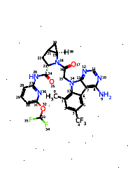 Cc1cc(C(F)(F)F)cc2c3c(N)ncnc3n(CC(=O)N3[C@@H]4CC4C[C@H]3C(=O)Nc3cccc(OC(F)F)n3)c12